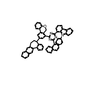 c1ccc(-n2c3ccccc3c3cccc(-c4nc(-c5cc(C6CCc7cc8ccccc8cc7-c7ccccc76)cc6c5COc5ccccc5-6)nc(-c5cccc6ccccc56)n4)c32)cc1